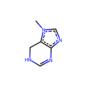 Cn1cnc2c1CNC=N2